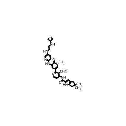 Cn1cc(-c2nccc(NC(=O)c3cc4c([nH]3)CC(C)(C)C4)c2C=O)cc(Nc2ccc(NCCNC3COC3)cn2)c1=O